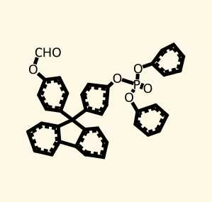 O=COc1ccc(C2(c3ccc(OP(=O)(Oc4ccccc4)Oc4ccccc4)cc3)c3ccccc3-c3ccccc32)cc1